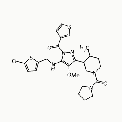 COc1c(C2CN(C(=O)N3CCCC3)CCC2C)nn(C(=O)c2ccsc2)c1NCc1ccc(Cl)s1